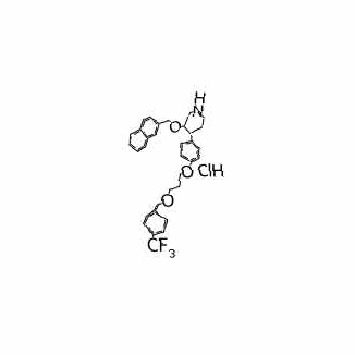 Cl.FC(F)(F)c1ccc(COCCCOc2ccc(C3CCNCC3OCc3ccc4ccccc4c3)cc2)cc1